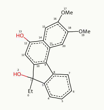 CCC1(O)c2ccccc2-c2c1cc(O)c1cc(OC)c(OC)cc21